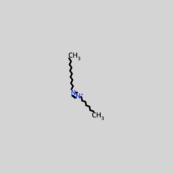 CCCCCCCCCCCCn1cc[n+](CCCCCCCC)c1